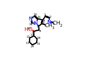 C=N/C=C\C1=C(C)C(CC(O)C2CCCCC2)n2cncc21